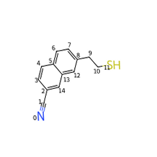 N#Cc1ccc2ccc(CCS)cc2c1